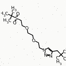 CC(C)(C)Cc1cn(CCOCCOCCS(=O)(=O)C(C)(C)C)nn1